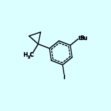 CC(C)(C)c1cc(I)cc(C2(C)CC2)c1